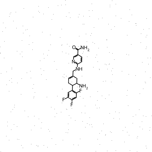 NC(=O)c1ccc(NCC2=CCC(c3cc(F)c(F)cc3F)C(N)C2)nc1